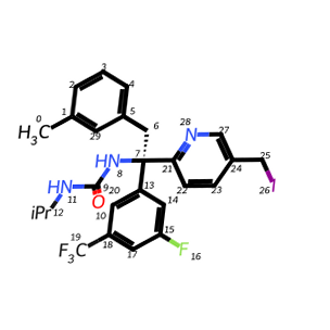 Cc1cccc(C[C@@](NC(=O)NC(C)C)(c2cc(F)cc(C(F)(F)F)c2)c2ccc(CI)cn2)c1